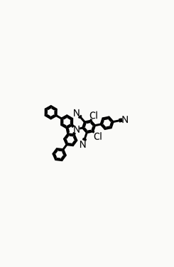 N#Cc1ccc(-c2c(Cl)c(C#N)c(-n3c4ccc(-c5ccccc5)cc4c4cc(-c5ccccc5)ccc43)c(C#N)c2Cl)cc1